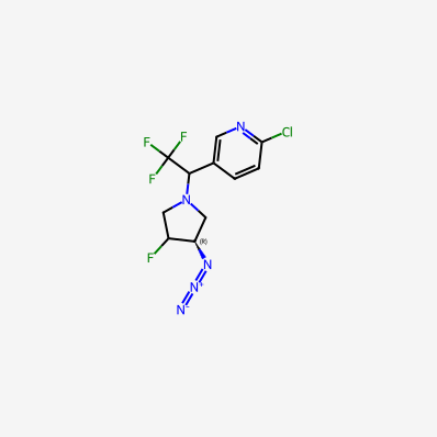 [N-]=[N+]=N[C@@H]1CN(C(c2ccc(Cl)nc2)C(F)(F)F)CC1F